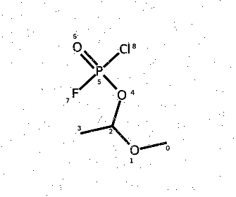 COC(C)OP(=O)(F)Cl